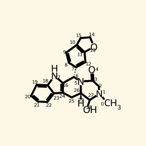 CN1CC(=O)N2[C@@H](c3ccc4c(c3)OCC4)c3[nH]c4ccccc4c3C[C@H]2C1O